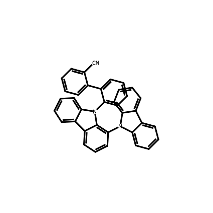 N#Cc1ccccc1-c1ccccc1-n1c2ccccc2c2cccc(-n3c4ccccc4c4ccccc43)c21